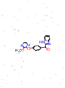 COc1nccnc1Oc1ccc(C(=O)c2nc3ccccc3[nH]2)cc1